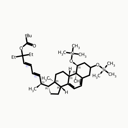 CCC(/C=C/C=C/[C@H](C)[C@H]1CC[C@H]2C3=CC=C4CC(O[Si](C)(C)C)C[C@H](O[Si](C)(C)C)[C@]4(C)[C@H]3CC[C@]12C)(CC)OC(=O)C(C)(C)C